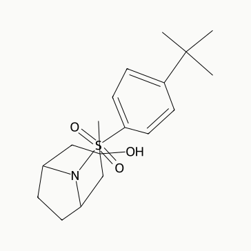 CC1(O)CC2CCC(C1)N2S(=O)(=O)c1ccc(C(C)(C)C)cc1